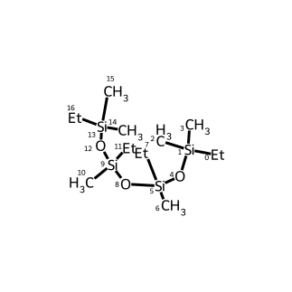 CC[Si](C)(C)O[Si](C)(CC)O[Si](C)(CC)O[Si](C)(C)CC